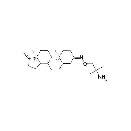 C=C1CCC2C3CCC4CC(=NOCC(C)(C)N)CC[C@]4(C)C3CC[C@]12C